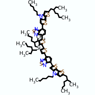 CCCCCCn1c2cc(CC(CC)CCCC)sc2c2sc(-c3ccc(-c4cc5c(s4)-c4sc(-c6ccc(-c7cc8c(s7)c7sc(CC(CC)CCCC)cc7n8CCCCCC)c7nsnc67)cc4[Si]5(CC(CC)CCCC)CC(CC)CCCC)c4nsnc34)cc21